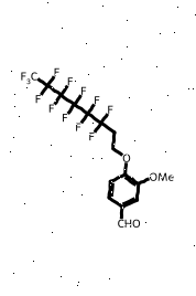 COc1cc(C=O)ccc1OCCC(F)(F)C(F)(F)C(F)(F)C(F)(F)C(F)(F)C(F)(F)F